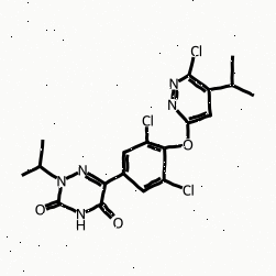 CC(C)c1cc(Oc2c(Cl)cc(-c3nn(C(C)C)c(=O)[nH]c3=O)cc2Cl)nnc1Cl